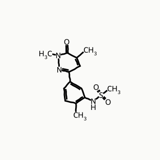 Cc1ccc(-c2cc(C)c(=O)n(C)n2)cc1NS(C)(=O)=O